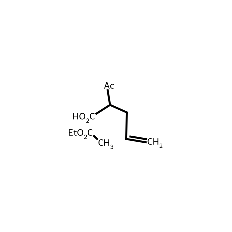 C=CCC(C(C)=O)C(=O)O.CCOC(C)=O